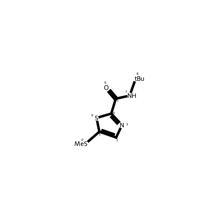 CSc1cnc(C(=O)NC(C)(C)C)s1